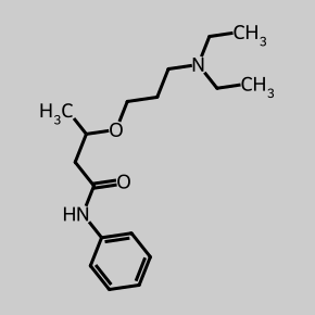 CCN(CC)CCCOC(C)CC(=O)Nc1ccccc1